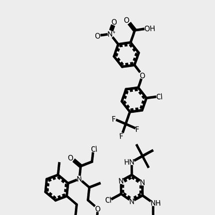 CCNc1nc(Cl)nc(NC(C)(C)C)n1.CCc1cccc(C)c1N(C(=O)CCl)C(C)COC.O=C(O)c1cc(Oc2ccc(C(F)(F)F)cc2Cl)ccc1[N+](=O)[O-]